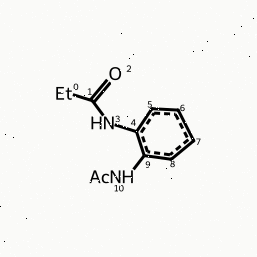 CCC(=O)Nc1ccccc1NC(C)=O